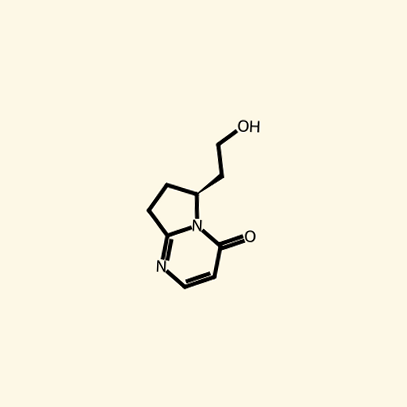 O=c1ccnc2n1[C@H](CCO)CC2